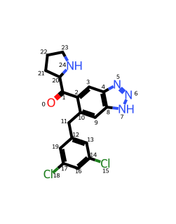 O=C(c1cc2nn[nH]c2cc1Cc1cc(Cl)cc(Cl)c1)C1CCCN1